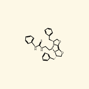 S=C(NCCP1N2C(=C3OC[C@H](Cc4ccccc4)N31)OC[C@@H]2Cc1ccccc1)Nc1ccccc1